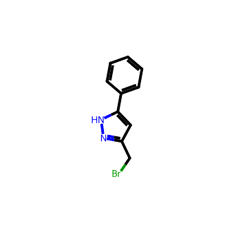 BrCc1cc(-c2ccccc2)[nH]n1